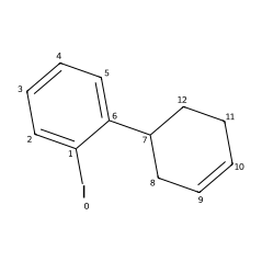 Ic1ccccc1C1CC=CCC1